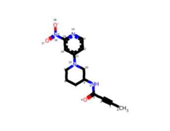 CC#CC(=O)NC1CCCN(c2ccnc([N+](=O)[O-])c2)C1